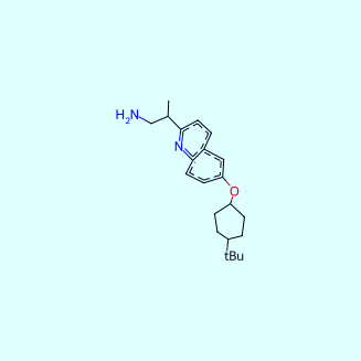 CC(CN)c1ccc2cc(OC3CCC(C(C)(C)C)CC3)ccc2n1